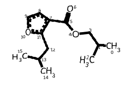 CC(C)COC(=O)c1ccoc1CC(C)C